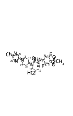 CS(=O)(=O)c1cc(F)c(NC2CCCCN(C3CCN(c4cnc(Cl)cn4)CC3)C2=O)cc1F.Cl